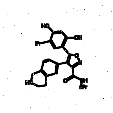 CCCNC(=O)c1noc(-c2cc(C(C)C)c(O)cc2O)c1-c1ccc2c(c1)CCNC2